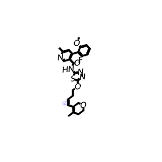 COc1cccc(F)c1-c1cc(C)ncc1C(=O)Nc1nnc(OCC/C=C\C2=C(C)CCOC2)s1